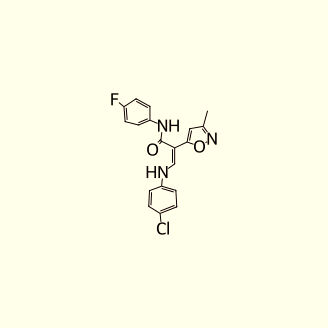 Cc1cc(C(=CNc2ccc(Cl)cc2)C(=O)Nc2ccc(F)cc2)on1